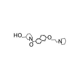 O=C(c1ccc2cc(OCCCN3CCCCC3)ccc2c1)N1CCCC(CO)C1